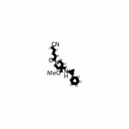 COCC1(CN[C@@H]2C[C@@H]2c2ccccc2)CCN(C(=O)CCCCC#N)CC1